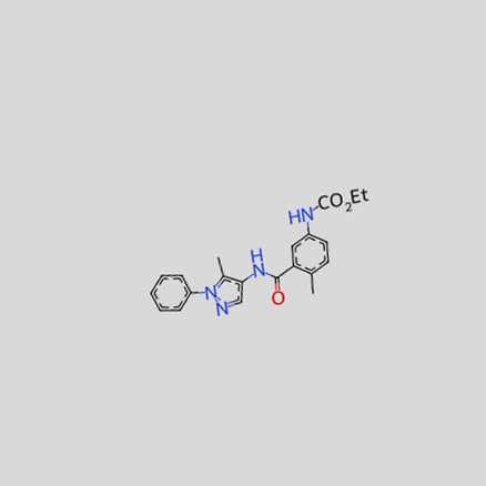 CCOC(=O)Nc1ccc(C)c(C(=O)Nc2cnn(-c3ccccc3)c2C)c1